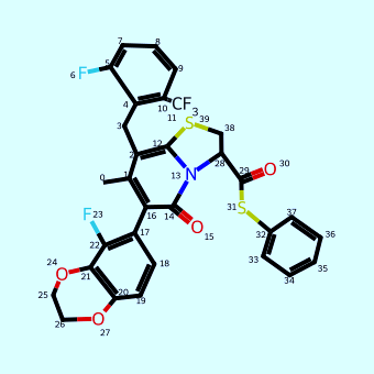 Cc1c(Cc2c(F)cccc2C(F)(F)F)c2n(c(=O)c1-c1ccc3c(c1F)OCCO3)C(C(=O)Sc1ccccc1)CS2